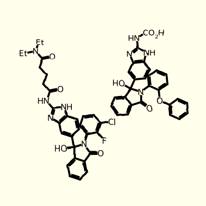 CCN(CC)C(=O)CCCC(=O)Nc1nc2cc(C3(O)c4ccccc4C(=O)N3c3cccc(Cl)c3F)ccc2[nH]1.O=C(O)Nc1nc2cc(C3(O)c4ccccc4C(=O)N3c3ccccc3Oc3ccccc3)ccc2[nH]1